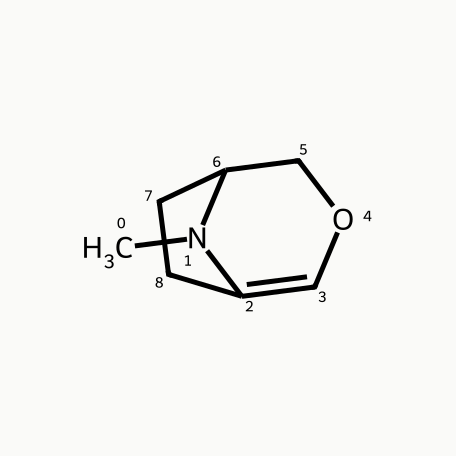 CN1C2=COCC1CC2